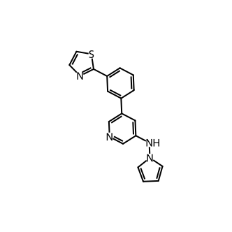 c1cc(-c2cncc(Nn3cccc3)c2)cc(-c2nccs2)c1